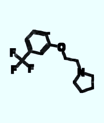 FC(F)(F)c1cc[c]c(OCCN2CCCC2)c1